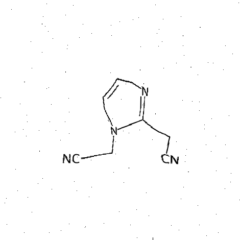 N#CCc1nccn1CC#N